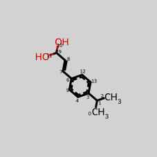 CC(C)c1ccc(/C=C/C(O)O)cc1